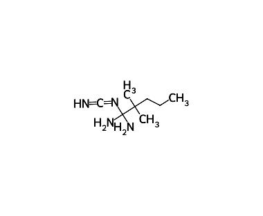 CCCC(C)(C)C(N)(N)N=C=N